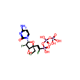 Nc1ccn([C@@H]2O[C@@](/C=C(\F)P(=O)(O)OP(=O)(O)OP(=O)(O)O)(CCl)[C@@H](O)[C@H]2F)c(=O)n1